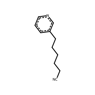 N#CCCCCCc1cccnc1